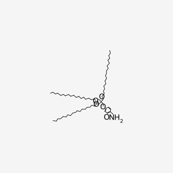 CCCCCCCCCCCCCCCCCCOCC(COCCCCCCCCCCCCCCCCCC)(COCCCCCCCCCCCCCCCCCC)COc1ccc(CN)c(OC)c1